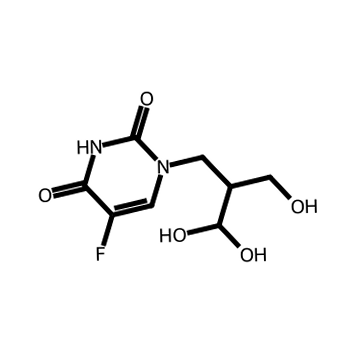 O=c1[nH]c(=O)n(CC(CO)C(O)O)cc1F